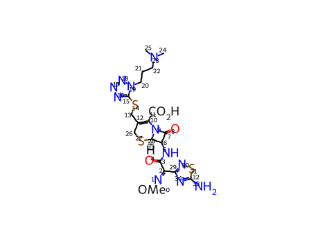 CO/N=C(/C(=O)NC1C(=O)N2C(C(=O)O)=C(CSc3nnnn3CCCN(C)C)CS[C@H]12)c1nsc(N)n1